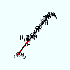 CC(C)(C)OC(=O)CCCCCCCCCCCCCCCCC(=O)N[C@@H](CCCCNC(=O)CCOCCOCCNC(=O)CCOCCOCCNC(=O)CCC(=O)NCCONC(=O)OC(C)(C)C)C(=O)OC(C)(C)C